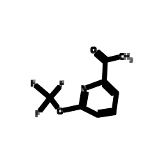 CC(=O)c1cccc(OC(F)(F)F)n1